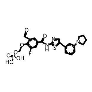 O=Cc1cc(C(=O)Nc2ncc(-c3cccc(N4CCCC4)c3)s2)cc(F)c1OCOP(=O)(O)O